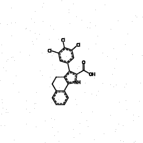 O=C(O)c1[nH]c2c(c1-c1cc(Cl)c(Cl)c(Cl)c1)CCc1ccccc1-2